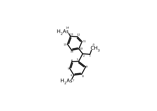 CCC(c1ccc([AsH2])cc1)c1ccc([AsH2])cc1